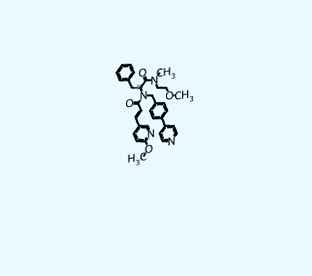 COCCN(C)C(=O)[C@H](Cc1ccccc1)N(Cc1ccc(-c2ccncc2)cc1)C(=O)C=Cc1ccc(OC)nc1